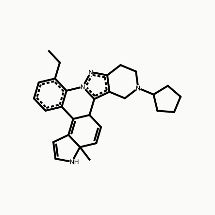 CCc1cccc2c1-n1nc3c(c1C1C=CC4(C)NC=CC4=C21)CN(C1CCCC1)CC3